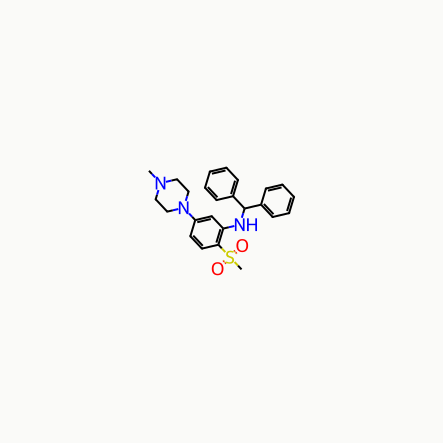 CN1CCN(c2ccc(S(C)(=O)=O)c(NC(c3ccccc3)c3ccccc3)c2)CC1